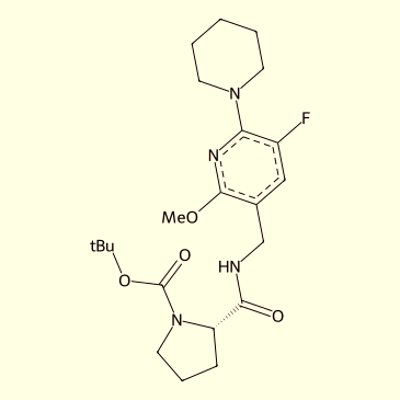 COc1nc(N2CCCCC2)c(F)cc1CNC(=O)[C@@H]1CCCN1C(=O)OC(C)(C)C